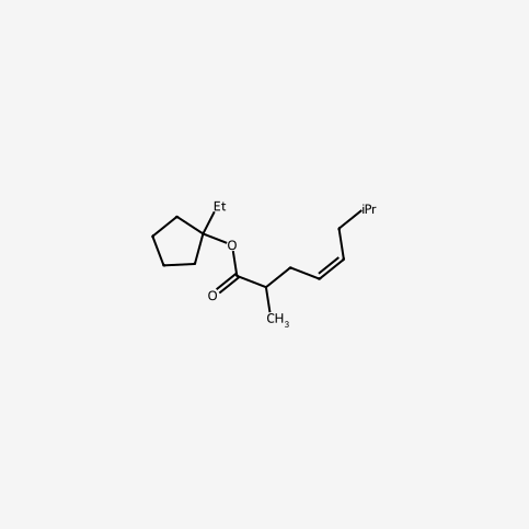 CCC1(OC(=O)C(C)C/C=C\CC(C)C)CCCC1